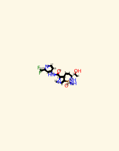 CC(O)[C@H]1C=Cc2c(cn(C)c2C(=O)Nc2ccnc(C(F)F)c2)S(=N)(=O)N1